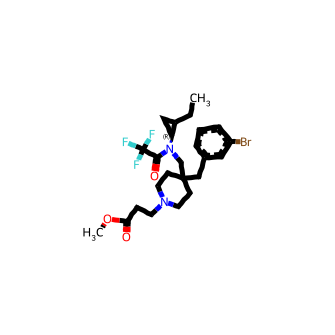 CCC1C[C@H]1N(CC1(Cc2cccc(Br)c2)CCN(CCC(=O)OC)CC1)C(=O)C(F)(F)F